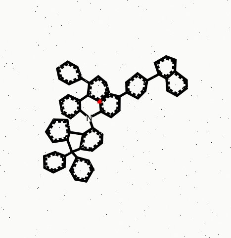 c1ccc(-c2ccccc2-c2ccccc2N(c2ccc(-c3ccc(-c4cccc5ccccc45)cc3)cc2)c2cccc3c2-c2ccccc2C3(c2ccccc2)c2ccccc2)cc1